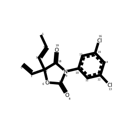 C=CC1(C=CC)OC(=O)N(c2cc(Cl)cc(Cl)c2)C1=O